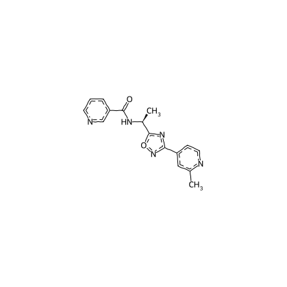 Cc1cc(-c2noc([C@H](C)NC(=O)c3cccnc3)n2)ccn1